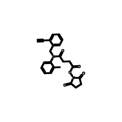 C#Cc1ccccc1CN(C(=O)CCC(=O)ON1C(=O)CCC1=O)c1ccccc1C